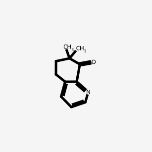 CC1(C)CCc2cccnc2C1=O